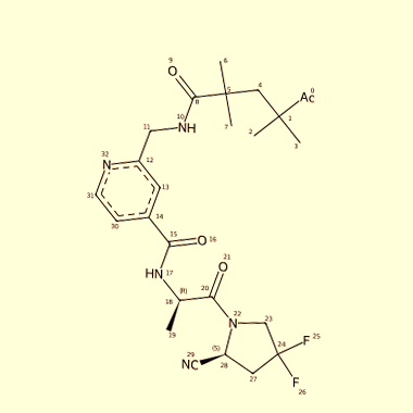 CC(=O)C(C)(C)CC(C)(C)C(=O)NCc1cc(C(=O)N[C@H](C)C(=O)N2CC(F)(F)C[C@H]2C#N)ccn1